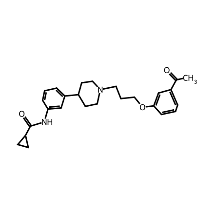 CC(=O)c1cccc(OCCCN2CCC(c3cccc(NC(=O)C4CC4)c3)CC2)c1